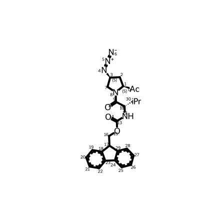 CC(=O)[C@@H]1C[C@H](N=[N+]=[N-])CN1C(=O)[C@@H](NC(=O)OCC1c2ccccc2-c2ccccc21)C(C)C